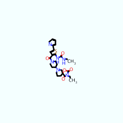 CCNC(=O)Nc1sc(-c2ccccn2)cc1C(=O)N1CCC(N2CCCC3(C2)OC(=O)N(CC)C3=O)CC1